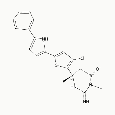 CN1C(=N)N[C@](C)(c2sc(-c3ccc(-c4ccccc4)[nH]3)cc2Cl)C[S+]1[O-]